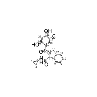 O=C(NC1CC1)C1c2ccccc2CN1C(=O)c1cc(Cl)c(O)cc1O